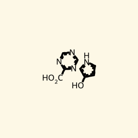 O=C(O)c1ncncn1.Oc1cc[nH]c1